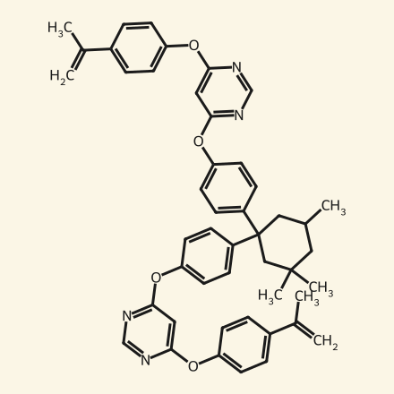 C=C(C)c1ccc(Oc2cc(Oc3ccc(C4(c5ccc(Oc6cc(Oc7ccc(C(=C)C)cc7)ncn6)cc5)CC(C)CC(C)(C)C4)cc3)ncn2)cc1